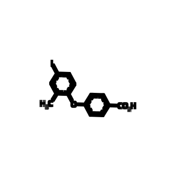 Cc1cc(I)ccc1Oc1ccc(C(=O)O)cc1